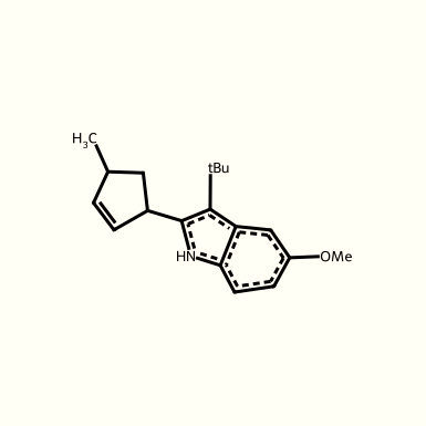 COc1ccc2[nH]c(C3C=CC(C)C3)c(C(C)(C)C)c2c1